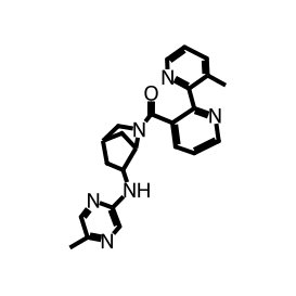 Cc1cnc(NC2CC3CC2N(C(=O)c2cccnc2-c2ncccc2C)C3)cn1